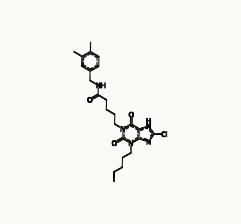 CCCCCn1c(=O)n(CCCCC(=O)NCc2ccc(C)c(C)c2)c(=O)c2[nH]c(Cl)nc21